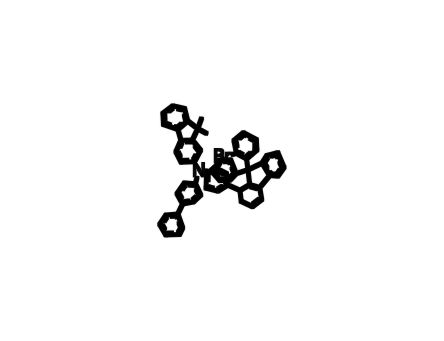 CC1(C)c2ccccc2-c2ccc(N(c3ccc(-c4ccccc4)cc3)c3ccc(C4(c5ccccc5Br)C5=C(C=CCC5c5ccccc5)c5ccccc54)cc3)cc21